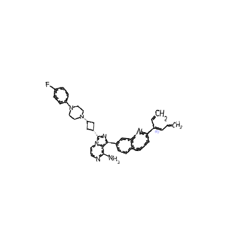 C=C/C=C(\C=C)c1ccc2ccc(-c3nc([C@H]4C[C@@H](N5CCN(c6ccc(F)cc6)CC5)C4)n4ccnc(N)c34)cc2n1